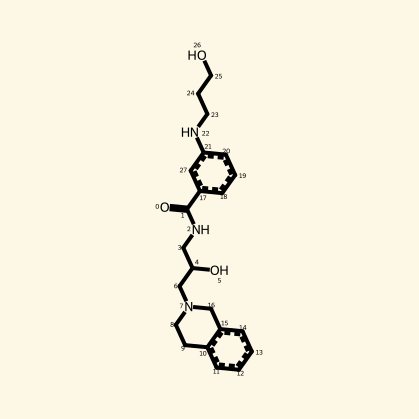 O=C(NCC(O)CN1CCc2ccccc2C1)c1cccc(NCCCO)c1